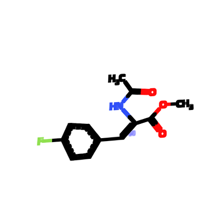 COC(=O)/C(=C/c1ccc(F)cc1)NC(C)=O